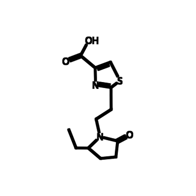 CCC1CCC(=O)N1CCc1nc(C(=O)O)cs1